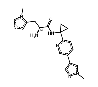 Cn1cc(-c2ccc(C3(NC(=O)[C@@H](N)Cc4cncn4C)CC3)nc2)cn1